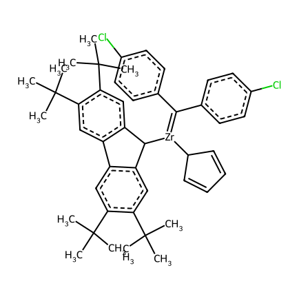 CC(C)(C)c1cc2c(cc1C(C)(C)C)[CH]([Zr](=[C](c1ccc(Cl)cc1)c1ccc(Cl)cc1)[CH]1C=CC=C1)c1cc(C(C)(C)C)c(C(C)(C)C)cc1-2